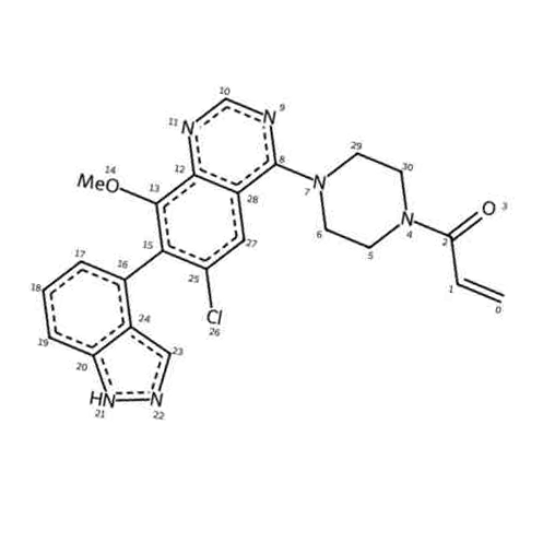 C=CC(=O)N1CCN(c2ncnc3c(OC)c(-c4cccc5[nH]ncc45)c(Cl)cc23)CC1